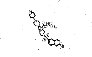 CCOC(=O)NC1(CN2CCN(S(=O)(=O)c3ccc4cc(Br)ccc4c3)CC2=O)CCN(c2ccncc2)CC1.Cl